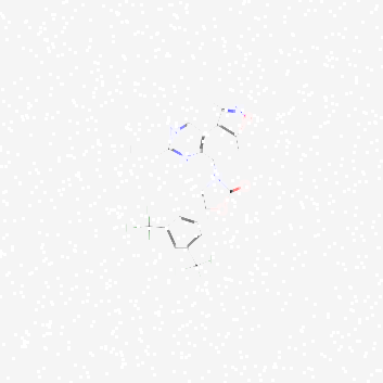 CSc1ncc(-c2c(C)noc2C)c(CN2C(=O)O[C@H](c3cc(C(F)(F)F)cc(C(F)(F)F)c3)[C@@H]2C)n1